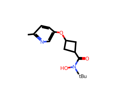 Cc1ccc(OC2CC(C(=O)N(O)C(C)(C)C)C2)cn1